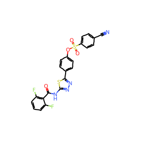 N#Cc1ccc(S(=O)(=O)Oc2ccc(-c3nnc(NC(=O)c4c(F)cccc4F)s3)cc2)cc1